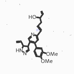 C=CC(O)C/C=C/c1cc(-c2ccc(OC)c(OC)c2)c(C2C=NNC2C=C)cn1